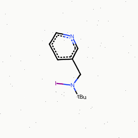 CC(C)(C)N(I)Cc1cccnc1